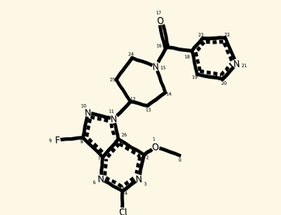 COc1nc(Cl)nc2c(F)nn(C3CCN(C(=O)c4ccncc4)CC3)c12